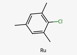 Cc1cc(C)c(Cl)c(C)c1.[Ru]